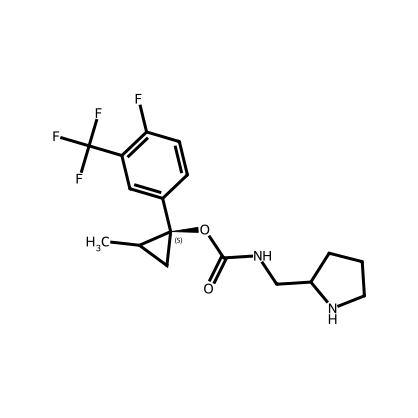 CC1C[C@@]1(OC(=O)NCC1CCCN1)c1ccc(F)c(C(F)(F)F)c1